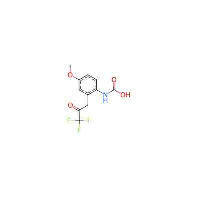 COc1ccc(NC(=O)O)c(CC(=O)C(F)(F)F)c1